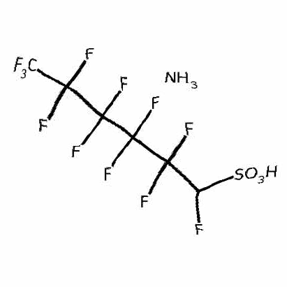 N.O=S(=O)(O)C(F)C(F)(F)C(F)(F)C(F)(F)C(F)(F)C(F)(F)F